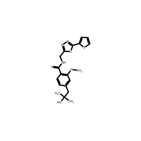 COc1cc(CC(C)(C)O)ccc1C(=O)NCc1nnc(-c2cccs2)o1